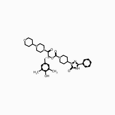 Cc1cc(C[C@@H](OC(=O)N2CCC(n3nc(-c4ccccc4)[nH]c3=O)CC2)C(=O)N2CCN(C3CCOCC3)CC2)cc(C)c1O